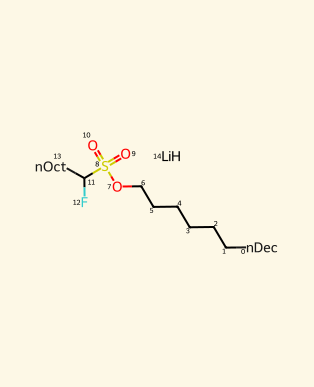 CCCCCCCCCCCCCCCCOS(=O)(=O)C(F)CCCCCCCC.[LiH]